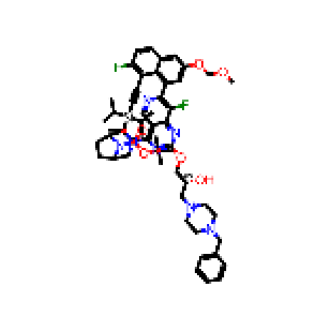 COCOc1cc(-c2ncc3c(N4CC5CCC(C4)N5C(=O)OC(C)(C)C)nc(OC[C@H](O)CN4CCN(Cc5ccccc5)CC4)nc3c2F)c2c(C#C[Si](C(C)C)(C(C)C)C(C)C)c(F)ccc2c1